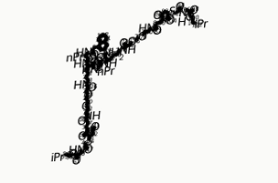 CCCC(NC(=O)Cc1cccc2ccccc12)C(=O)NC(CCCCNC(=O)COCCOCCNC(=O)CCN1C(=O)CC(SCC(=O)NCC(=O)OCCC(C)C)C1=O)C(=O)NC(CCC)C(=O)NC(CCCCNC(=O)COCCOCCNC(=O)CCN1C(=O)CC(SCC(=O)NCC(=O)OCCC(C)C)C1=O)C(N)=O